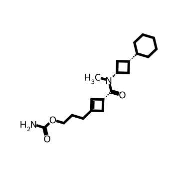 CN(C(=O)[C@H]1C=C(CCCOC(N)=O)C1)[C@H]1C[C@@H](C2CCCCC2)C1